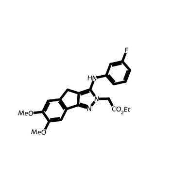 CCOC(=O)Cn1nc2c(c1Nc1cccc(F)c1)Cc1cc(OC)c(OC)cc1-2